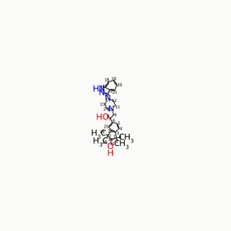 CC1(C)c2ccc(C(O)CN3CCN(c4n[nH]c5ccccc45)CC3)cc2C(C)(C)C1O